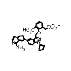 Nc1nccc2ccc(-c3ccc4c(c3)c(COc3c(CC(=O)O)cccc3C(=O)O)nn4C3CCC3)cc12